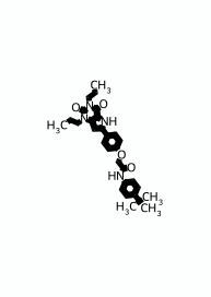 CCCn1c(=O)c2[nH]c(-c3ccc(OCC(=O)Nc4ccc(C(C)(C)C)cc4)cc3)cc2n(CCC)c1=O